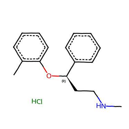 CNCC[C@@H](Oc1ccccc1C)c1ccccc1.Cl